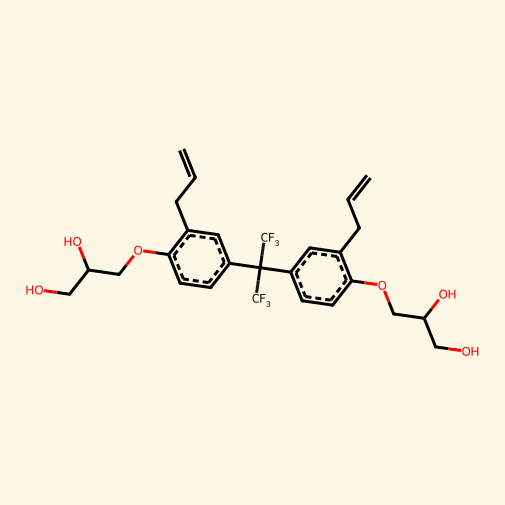 C=CCc1cc(C(c2ccc(OCC(O)CO)c(CC=C)c2)(C(F)(F)F)C(F)(F)F)ccc1OCC(O)CO